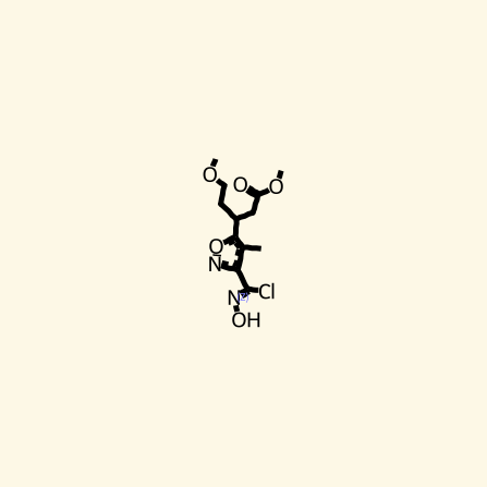 COCCC(CC(=O)OC)c1onc(/C(Cl)=N/O)c1C